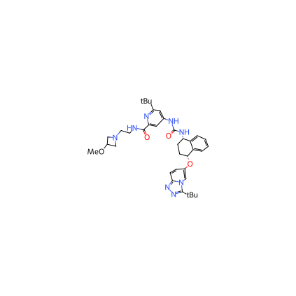 COC1CN(CCNC(=O)c2cc(NC(=O)N[C@H]3CC[C@@H](Oc4ccc5nnc(C(C)(C)C)n5c4)c4ccccc43)cc(C(C)(C)C)n2)C1